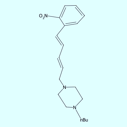 CCCCN1CCN(CC=CC=Cc2ccccc2[N+](=O)[O-])CC1